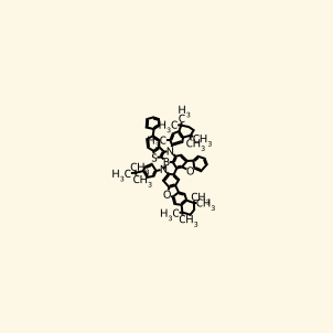 Cc1cc2c(cc1N1c3cc4c(oc5ccccc54)c4c3B(c3sc5ccc(-c6ccccc6)cc5c31)N(c1ccc(C(C)(C)C)cc1)c1cc3oc5cc6c(cc5c3cc1-4)C(C)(C)CCC6(C)C)C(C)(C)CCC2(C)C